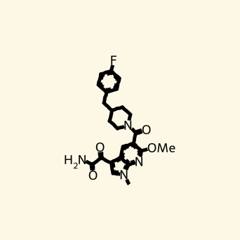 COc1nc2c(cc1C(=O)N1CCC(Cc3ccc(F)cc3)CC1)c(C(=O)C(N)=O)cn2C